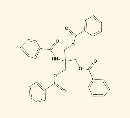 O=C(NC(COC(=O)c1ccccc1)(COC(=O)c1ccccc1)COC(=O)c1ccccc1)c1ccccc1